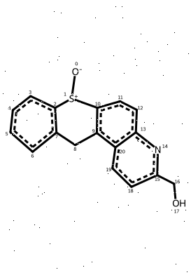 [O-][S+]1c2ccccc2Cc2c1ccc1nc(CO)ccc21